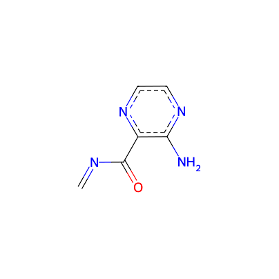 C=NC(=O)c1nccnc1N